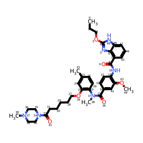 CCCOc1nc2c(C(=O)Nc3ccc(C(=O)N(C)c4ccc(C)cc4OCCCCCC(=O)N4CCN(C)CC4)cc3OC)cccc2[nH]1